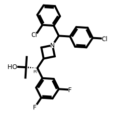 CC(C)(O)[C@@H](c1cc(F)cc(F)c1)C1CN(C(c2ccc(Cl)cc2)c2ccccc2Cl)C1